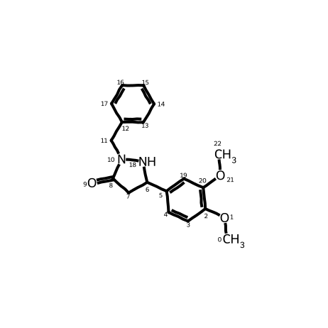 COc1ccc(C2CC(=O)N(Cc3ccccc3)N2)cc1OC